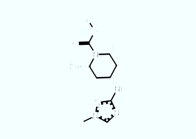 CC[C@@H]1C[C@H](Nc2ncn(C)n2)C[C@H](CC)N1C(=O)OC(C)C